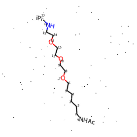 CC(=O)NCCCCCCOCCOCCOCCNC(C)C